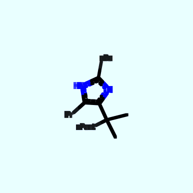 CCCCCC(C)(C)c1nc(CCCC)[nH]c1C(C)C